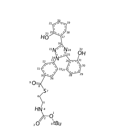 CC(C)(C)OC(=O)NCCSC(=O)c1ccc(-n2nc(-c3ccccc3O)nc2-c2ccccc2O)cc1